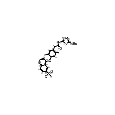 Cc1cc(CC(=O)Nc2nnc(C(C)(C)C)s2)c(F)cc1Oc1ccnc2ccc(S(C)(=O)=O)cc12